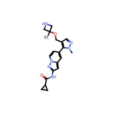 CCC1(OCc2cnn(C)c2-c2ccn3nc(NC(=O)C4CC4)cc3c2)CNC1